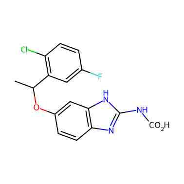 CC(Oc1ccc2nc(NC(=O)O)[nH]c2c1)c1cc(F)ccc1Cl